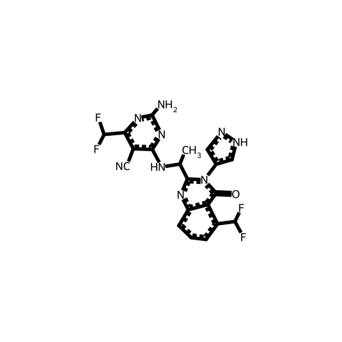 CC(Nc1nc(N)nc(C(F)F)c1C#N)c1nc2cccc(C(F)F)c2c(=O)n1-c1cn[nH]c1